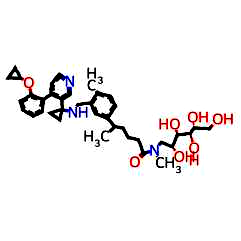 Cc1ccc(C(C)CCCC(=O)N(C)C[C@H](O)[C@@H](O)[C@H](O)[C@H](O)CO)cc1CNC1(c2cnccc2-c2ccccc2OC2CC2)CC1